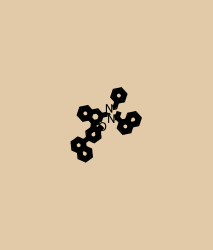 C/C(=N\C(=N/Cc1ccccc1)C1Cc2ccccc2-c2c1oc1ccc(-c3cccc4ccccc34)cc21)c1cccc2ccccc12